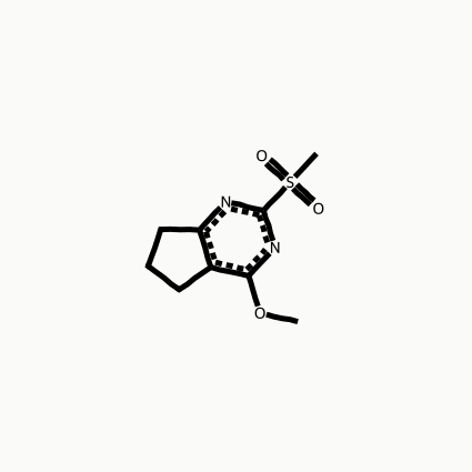 COc1nc(S(C)(=O)=O)nc2c1CCC2